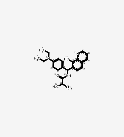 CCN(CC)C1=CC=C(C(NC(=O)C(C)C)c2ccc3cccnc3c2O)CC1